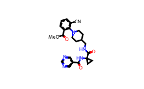 COC(=O)c1cccc(C#N)c1N1CCC(CNC(=O)C2(NC(=O)c3cncnc3)CC2)CC1